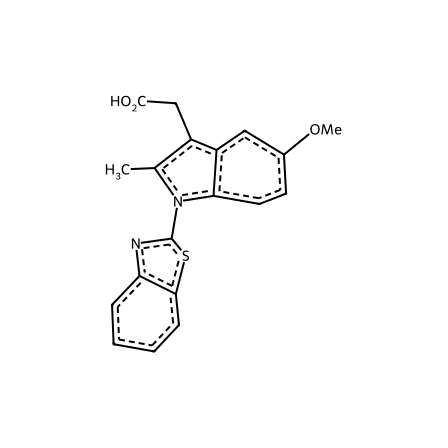 COc1ccc2c(c1)c(CC(=O)O)c(C)n2-c1nc2ccccc2s1